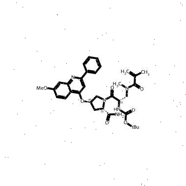 C=C(C)C(=O)N(C)C[C@H](NC(=O)OC(C)(C)C)C(=O)N1C[C@H](Oc2cc(-c3ccccc3)nc3cc(OC)ccc23)C[C@H]1C(N)=O